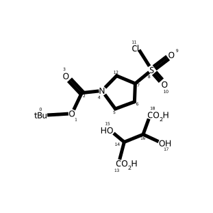 CC(C)(C)OC(=O)N1CCC(S(=O)(=O)Cl)C1.O=C(O)C(O)C(O)C(=O)O